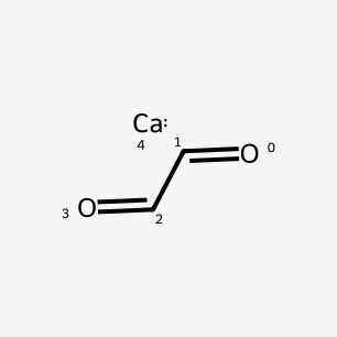 O=CC=O.[Ca]